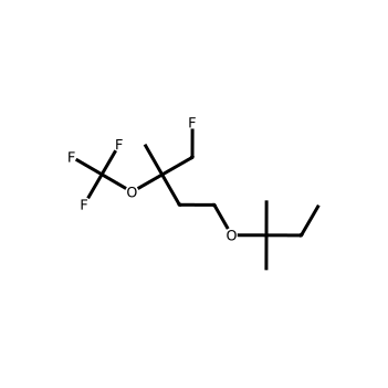 CCC(C)(C)OCCC(C)(CF)OC(F)(F)F